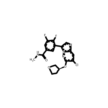 CNC(=O)c1cc(F)c(F)c(-c2cnc3cc(Cl)c(O[C@H]4CCOC4)nn23)c1